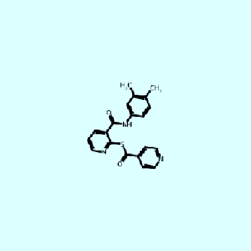 Cc1ccc(NC(=O)c2cccnc2SC(=O)c2ccncc2)cc1C